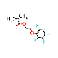 C=C(C)C(=O)OCCOc1c(F)c(F)c(F)c(F)c1F